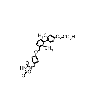 Cc1cc(OCC(=O)O)ccc1-c1cccc(COc2ccc(Cn3oc(=O)[nH]c3=O)cc2)c1C